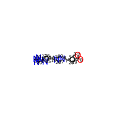 O=C1OCc2cc(CCN3CCN(CCc4ccc(-n5cnnn5)nc4)CC3)ccc21